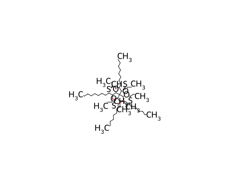 CCCCCCCCCC(CC)C(OC(=S)CC)C(C(OC(=S)CC)C(CC)CCCCCCCCC)(C(OC(=S)CC)C(CC)CCCCCCCCC)C(OC(=S)CC)C(CC)CCCCCCCCC